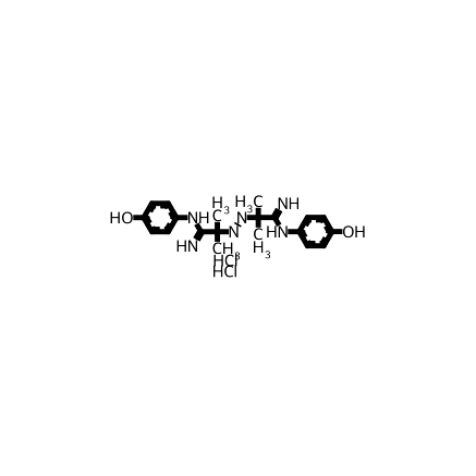 CC(C)(N=NC(C)(C)C(=N)Nc1ccc(O)cc1)C(=N)Nc1ccc(O)cc1.Cl.Cl